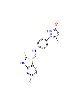 Cc1cc(=O)[nH]n1-c1ccc(N/C=C2\C(=O)Nc3nc(Cl)ccc32)cc1